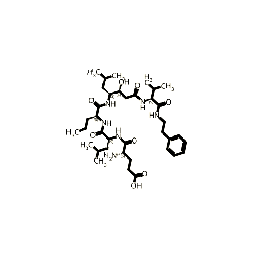 CCC[C@H](NC(=O)[C@H](CC(C)C)NC(=O)[C@@H](N)CCC(=O)O)C(=O)N[C@@H](CC(C)C)[C@@H](O)CC(=O)N[C@H](C(=O)NCCc1ccccc1)C(C)C